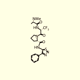 CN[C@@H](C)C(=O)N[C@@H](C(=O)N1CCC[C@H]1C(=O)Nc1snnc1-c1ccccc1)C(F)(F)F